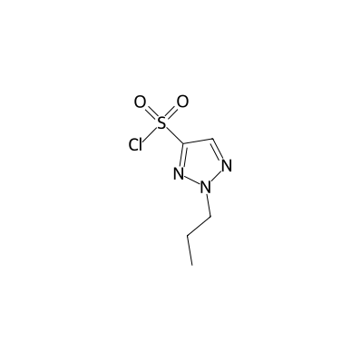 CCCn1ncc(S(=O)(=O)Cl)n1